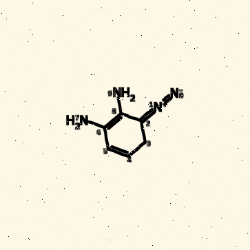 [N-]=[N+]=C1CC=CC(N)=C1N